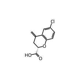 C=C1C[C@@H](C(=O)O)Oc2ccc(Cl)cc21